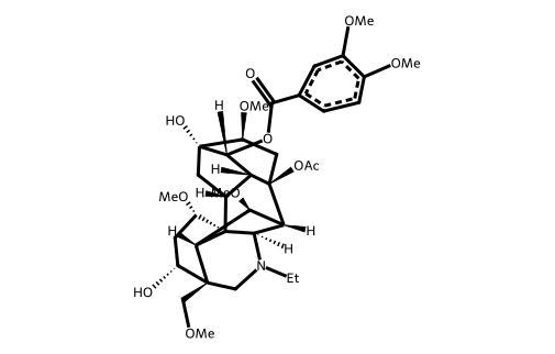 CCN1C[C@]2(COC)[C@H](O)C[C@H](OC)[C@@]34[C@@H]5C[C@@]6(O)[C@@H](OC)C[C@@](OC(C)=O)([C@H]5[C@H]6OC(=O)c5ccc(OC)c(OC)c5)[C@@H]([C@H](OC)[C@H]23)[C@@H]14